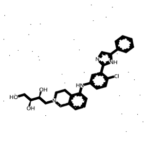 OC[C@H](O)[C@@H](O)CN1CCc2c(cccc2Nc2ccc(Cl)c(-c3ncc(-c4ccccc4)[nH]3)c2)C1